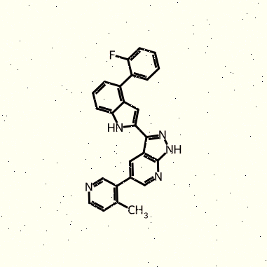 Cc1ccncc1-c1cnc2[nH]nc(-c3cc4c(-c5ccccc5F)cccc4[nH]3)c2c1